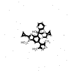 Cc1noc(C)c1-c1cc([C@](O)(c2ccccn2)[C@H]2CCC3(CC3)O2)c2nc(C3CC3)n(C(=O)O)c2c1